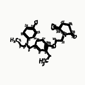 CCc1cc(CN(CC)c2ccc(Cl)cc2)ccc1OCCN1C(=O)CCC1=O